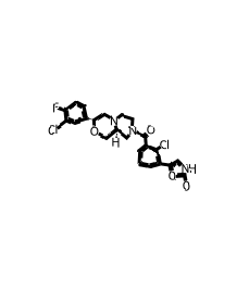 O=C(c1cccc(-c2c[nH]c(=O)o2)c1Cl)N1CCN2C[C@@H](c3ccc(F)c(Cl)c3)OC[C@@H]2C1